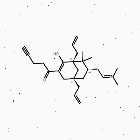 C#CCCC(=O)C1=C(O)[C@@]2(CC=C)C[C@@](CC=C)(C1)C[C@@H](CC=C(C)C)C2(C)C